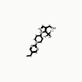 CCc1cnc(N2CCC(n3ncc(CO)c3C(F)(F)F)CC2)nc1